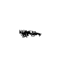 Cc1nn2c(O)c(C(=O)NC3CC3)c(=O)n(CC(C)C)c2c1/C=C/C(=O)N1CCN(CC2CC(F)(F)C2)C[C@@H]1C